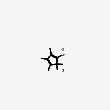 CC1=C(C)C(C)(C)[C]([Os+2])=C1C.[Cl-].[Cl-]